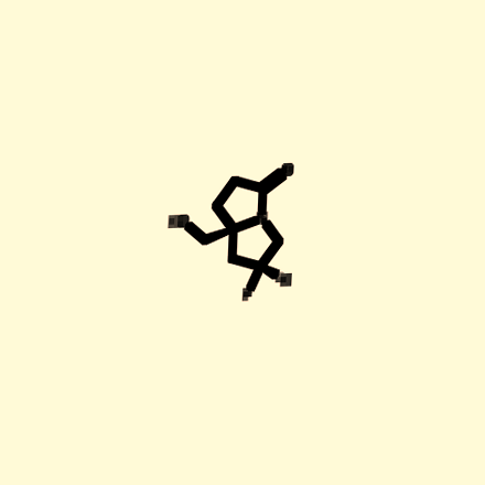 [2H][C@]1(F)CN2C(=O)CC[C@@]2(CO)C1